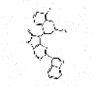 CN1Cc2c(F)cccc2C(n2c(=O)[nH]c3cnc(-n4cnc5ccccc54)nc32)C1